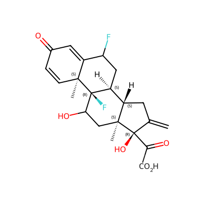 C=C1C[C@H]2[C@@H]3CC(F)C4=CC(=O)C=C[C@]4(C)[C@@]3(F)C(O)C[C@]2(C)[C@@]1(O)C(=O)C(=O)O